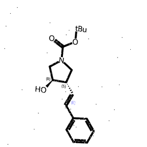 CC(C)(C)OC(=O)N1C[C@H](O)[C@@H](/C=C/c2ccccc2)C1